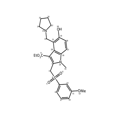 CCOC(=O)c1c(CS(=O)(=O)c2cccc(OC)c2)n(C)c2ccc(O)c(CN3CCCC3)c12